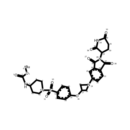 CC(C)(C)OC(=O)NC1CCN(S(=O)(=O)c2ccc(OC3CN(c4ccc5c(c4)C(=O)N(C4CCC(=O)NC4=O)C5=O)C3)cc2)CC1